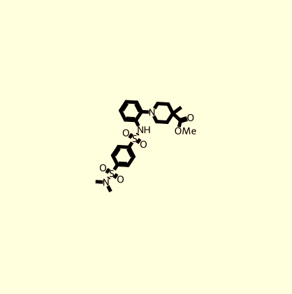 COC(=O)C1(C)CCN(c2ccccc2NS(=O)(=O)c2ccc(S(=O)(=O)N(C)C)cc2)CC1